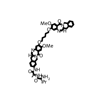 COc1cc2c(cc1OCCCCCOc1cc3c(cc1OC)C(=O)N1Cc4cc(NC(=O)[C@H](C)NC(=O)[C@@H](N)C(C)C)ccc4C[C@H]1C=N3)N=C[C@@H]1Cc3ccccc3CN1C2=O